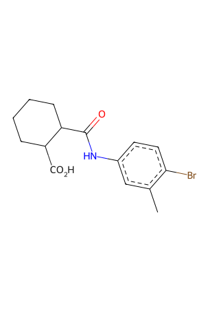 Cc1cc(NC(=O)C2CCCCC2C(=O)O)ccc1Br